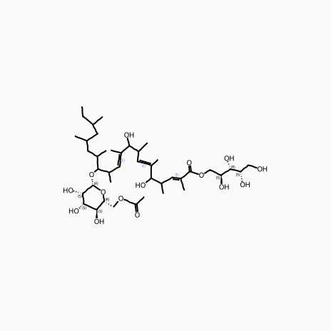 CCC(C)CC(C)CC(C)C(O[C@@H]1O[C@H](COC(C)=O)[C@@H](O)[C@H](O)[C@@H]1O)C(C)/C=C(\C)C(O)C(C)/C=C(\C)C(O)C(C)/C=C(\C)C(=O)OC[C@H](O)[C@H](O)[C@@H](O)CO